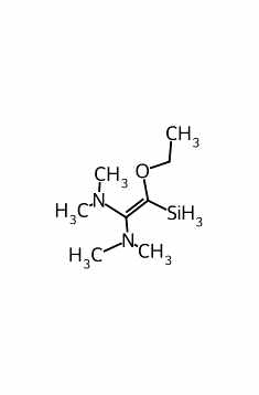 CCOC([SiH3])=C(N(C)C)N(C)C